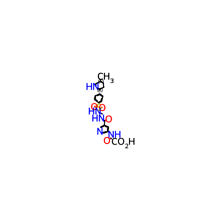 C[C@H]1CC[C@H](c2ccc(S(=O)(=O)NCNC(=O)c3cncc(NC(=O)C(=O)O)c3)cc2)NC1